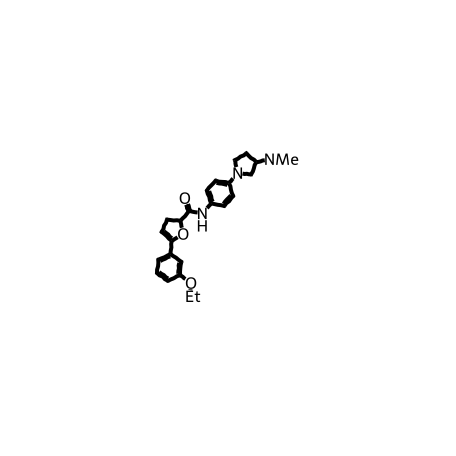 CCOc1cccc(C2=CCC(C(=O)Nc3ccc(N4CCC(NC)C4)cc3)O2)c1